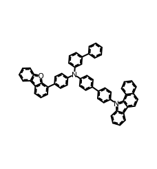 c1ccc(-c2cccc(N(c3ccc(-c4ccc(-n5c6ccccc6c6ccc7ccccc7c65)cc4)cc3)c3ccc(-c4cccc5c4oc4ccccc45)cc3)c2)cc1